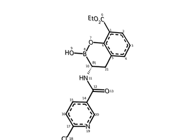 CCOC(=O)c1cccc2c1OB(O)[C@@H](NC(=O)c1ccc(Cl)nc1)C2